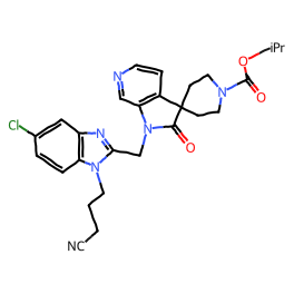 CC(C)OC(=O)N1CCC2(CC1)C(=O)N(Cc1nc3cc(Cl)ccc3n1CCCC#N)c1cnccc12